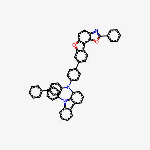 c1ccc(-c2ccc(N(c3ccc(-c4ccc5c(c4)oc4ccc6nc(-c7ccccc7)oc6c45)cc3)c3cccc4c5ccccc5n(-c5ccccc5)c34)cc2)cc1